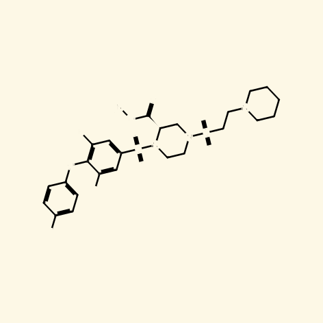 NOC(=O)[C@H]1CN(S(=O)(=O)CCN2CCCCC2)CCN1S(=O)(=O)c1cc(F)c(Oc2ccc(Cl)cc2)c(F)c1